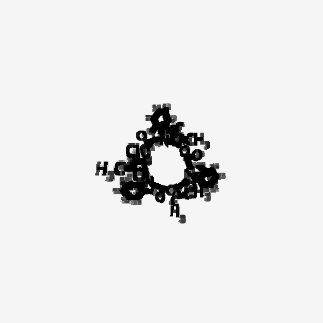 CC[C@H](C)[C@H]1OC(=O)[C@H](Cc2ccccc2)N(C)C(=O)[C@@H](C(C)C)OC(=O)[C@H](Cc2ccccc2)N(C)C(=O)[C@@H](C(C)C)OC(=O)[C@H](Cc2ccccc2)N(C)C1=O